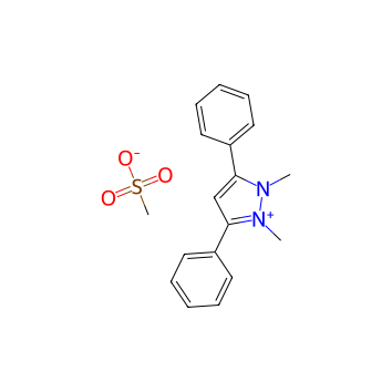 CS(=O)(=O)[O-].Cn1c(-c2ccccc2)cc(-c2ccccc2)[n+]1C